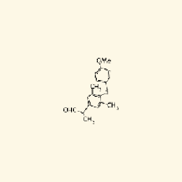 COc1ccc(Sc2c(C)cc(C(C)C=O)cc2C)cc1